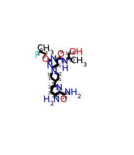 CC(F)COc1nc(C(=O)N[C@H](C)CO)cc(N2CCC(c3ccc(N)c(C(N)=O)n3)CC2)n1